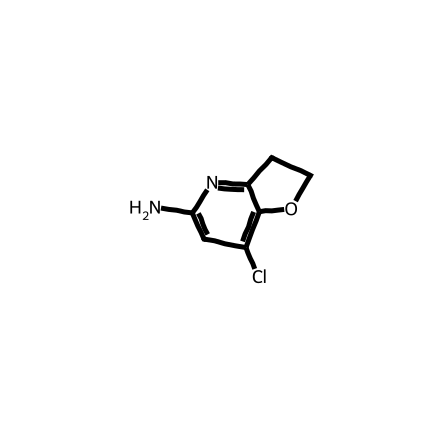 Nc1cc(Cl)c2c(n1)CCO2